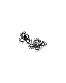 O=P(C1=CCCC=C1)(c1ccccc1)c1ccc(-c2cccc(-c3c4ccccc4c(-c4ccccc4)c4ccccc34)c2)cc1